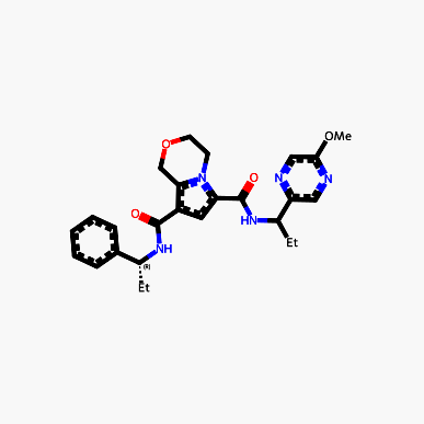 CCC(NC(=O)c1cc(C(=O)N[C@H](CC)c2ccccc2)c2n1CCOC2)c1cnc(OC)cn1